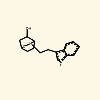 OC1CC2CCC1N(CCc1c[nH]c3ccccc13)C2